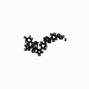 CCCc1ccc(C)cc1N1CCS/C1=N\C(=O)NC1=C(c2ccc(-c3ncn(-c4ccc(OC(F)(F)F)cc4)n3)cc2)CCC1